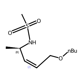 CCCCOC/C=C\[C@@H](C)NS(C)(=O)=O